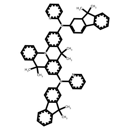 CC1(C)c2ccccc2-c2ccc(N(c3cc4c5c(c3)C(C)(C)c3cc(N(C6=CC=C7c8ccccc8C(C)(C)C7C6)c6ccccn6)ccc3N5c3ccccc3C4(C)C)c3ccccn3)cc21